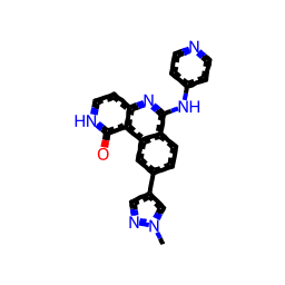 Cn1cc(-c2ccc3c(Nc4ccncc4)nc4cc[nH]c(=O)c4c3c2)cn1